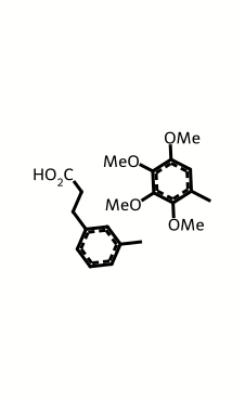 COc1cc(C)c(OC)c(OC)c1OC.Cc1cccc(CCC(=O)O)c1